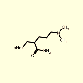 CCCCCCCC(CCCN(C)C)C(N)=O